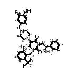 Cc1c(N2CCN(Cc3ccc(O)c(F)c3)CC2)c(=O)n(C[C@@H](N)c2ccccc2)c(=O)n1Cc1c(F)cccc1C(F)(F)F